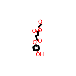 O=CCOC(=O)CCC(=O)Oc1ccc(O)cc1